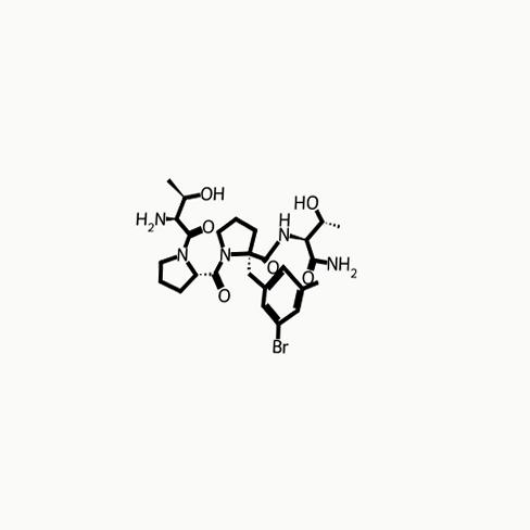 Cc1cc(Br)cc(C[C@@]2(C(=O)N[C@H](C(N)=O)[C@@H](C)O)CCCN2C(=O)[C@@H]2CCCN2C(=O)[C@@H](N)[C@@H](C)O)c1